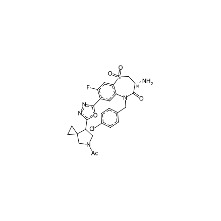 CC(=O)N1CC(c2nnc(-c3cc4c(cc3F)S(=O)(=O)C[C@H](N)C(=O)N4Cc3ccc(Cl)cc3)o2)C2(CC2)C1